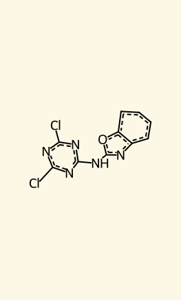 Clc1nc(Cl)nc(Nc2nc3ccccc3o2)n1